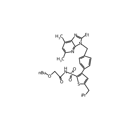 CCCCOCC(=O)NS(=O)(=O)c1sc(CC(C)C)cc1-c1ccc(Cn2c(CC)nc3c(C)cc(C)nc32)cc1